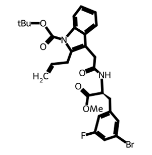 C=CCc1c(CC(=O)N[C@@H](Cc2cc(F)cc(Br)c2)C(=O)OC)c2ccccc2n1C(=O)OC(C)(C)C